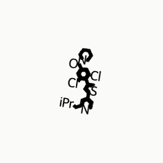 CC(C)Cc1cc(-c2cc(-c3c(Cl)cc(C(=O)N4CCCCC4)cc3Cl)cs2)ccn1